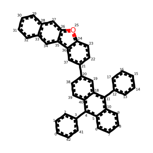 c1ccc(-c2c3ccccc3c(-c3ccccc3)c3cc(-c4ccc5oc6cc7ccccc7cc6c5c4)ccc23)cc1